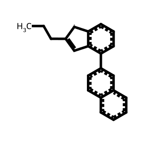 CCCC1=Cc2c(cccc2-c2ccc3ccccc3c2)[CH]1